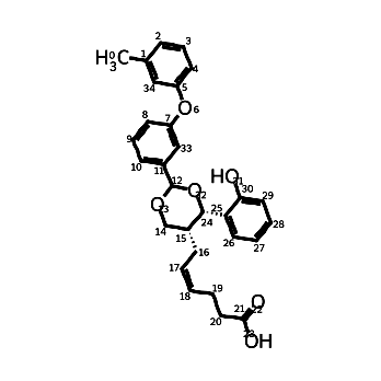 Cc1cccc(Oc2cccc(C3OC[C@@H](C/C=C\CCC(=O)O)[C@@H](c4ccccc4O)O3)c2)c1